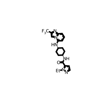 CCn1nccc1C(=O)N[C@H]1CC[C@@H](Nc2cccc3nc(C(F)(F)F)cn23)CC1